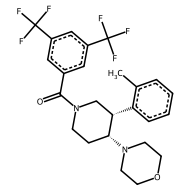 Cc1ccccc1[C@H]1CN(C(=O)c2cc(C(F)(F)F)cc(C(F)(F)F)c2)CC[C@H]1N1CCOCC1